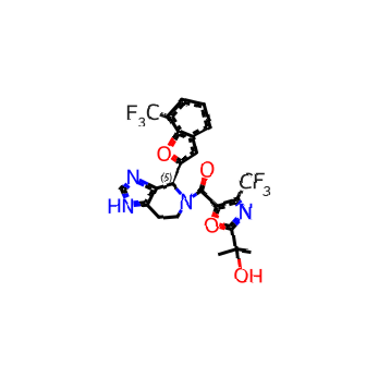 CC(C)(O)c1nc(C(F)(F)F)c(C(=O)N2CCc3[nH]cnc3[C@H]2c2cc3cccc(C(F)(F)F)c3o2)o1